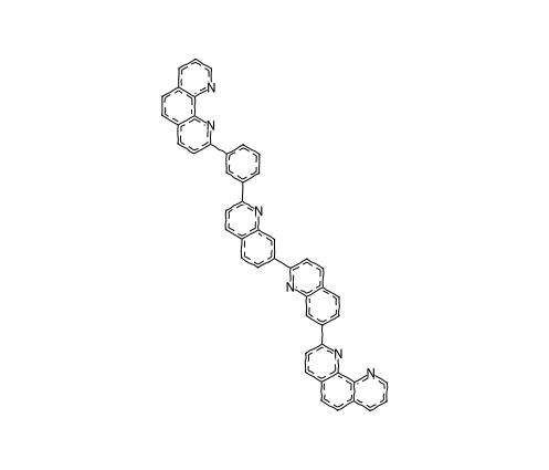 c1cc(-c2ccc3ccc(-c4ccc5ccc(-c6ccc7ccc8cccnc8c7n6)cc5n4)cc3n2)cc(-c2ccc3ccc4cccnc4c3n2)c1